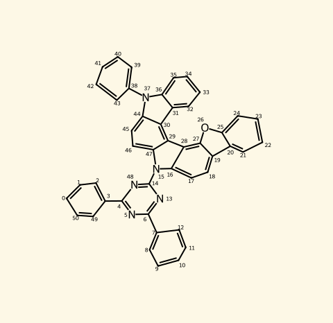 c1ccc(-c2nc(-c3ccccc3)nc(-n3c4ccc5c6ccccc6oc5c4c4c5c6ccccc6n(-c6ccccc6)c5ccc43)n2)cc1